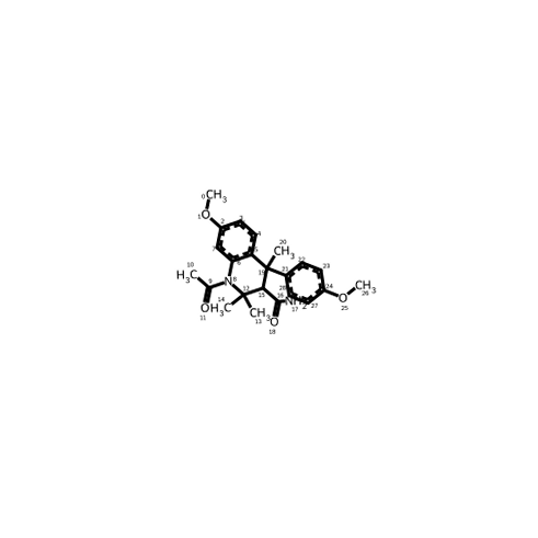 COc1[c]cc2c(c1)N(C(C)=O)C(C)(C)C(C(N)=O)C2(C)c1ccc(OC)cc1